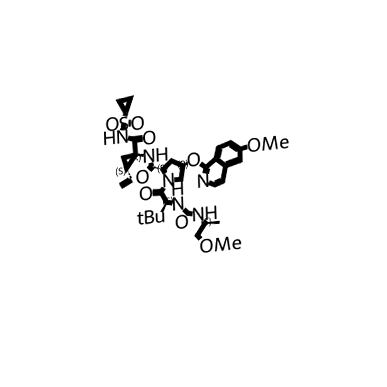 C=C[C@@H]1C[C@]1(NC(=O)[C@@H]1C[C@@H](Oc2nccc3cc(OC)ccc23)CN1C(=O)[C@@H](NC(=O)N[C@@H](C)COC)C(C)(C)C)C(=O)NS(=O)(=O)C1CC1